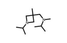 CC(C)N(C)CC1(C)CN(C(C)C)C1